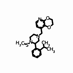 CSN1CCN(Cc2ccnc3c2OCCO3)CC1c1ccccc1C(C)C